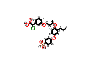 CCCc1cc(Oc2ccc(S(C)(=O)=O)cc2)ccc1OC(C)CCOc1cccc(C(Cl)C(=O)OC)c1